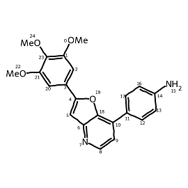 COc1cc(-c2cc3nccc(-c4ccc(N)cc4)c3o2)cc(OC)c1OC